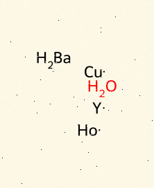 O.[BaH2].[Cu].[Ho].[Y]